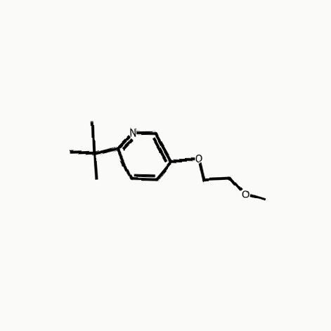 COCCOc1ccc(C(C)(C)C)nc1